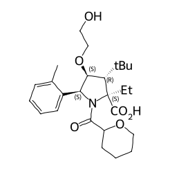 CC[C@@]1(C(=O)O)[C@@H](C(C)(C)C)[C@H](OCCO)[C@H](c2ccccc2C)N1C(=O)C1CCCCO1